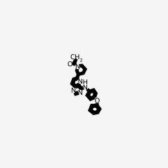 C=CC(=O)N1CCCC(c2ccc3ncnc(Nc4ccc(Oc5ccccc5)cc4)c3n2)C1